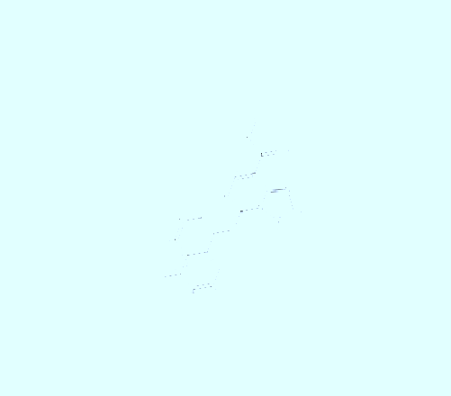 O=C(O)CNC(=O)c1c(O)cc(Sc2cncc3c(C(F)(F)F)cccc23)n2ncnc12